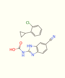 Clc1ccccc1C1CC1.N#Cc1ccc2nc(NC(=O)O)[nH]c2c1